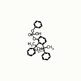 CC(C)(c1ccccc1)c1cccc(OP(=O)(O)Oc2ccccc2)c1C(C)(C)c1ccccc1